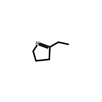 CC[C]1=[Al][CH2]CC1